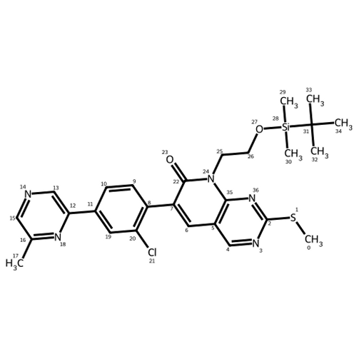 CSc1ncc2cc(-c3ccc(-c4cncc(C)n4)cc3Cl)c(=O)n(CCO[Si](C)(C)C(C)(C)C)c2n1